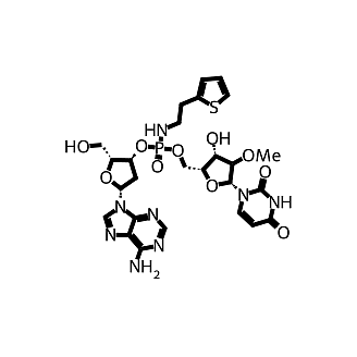 COC1[C@@H](O)[C@@H](COP(=O)(NCCc2cccs2)O[C@@H]2C[C@H](n3cnc4c(N)ncnc43)O[C@@H]2CO)O[C@H]1n1ccc(=O)[nH]c1=O